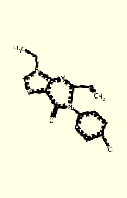 C=Cc1nc2c(ncn2CC)c(=O)n1-c1ccc(Cl)cc1